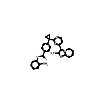 Cc1nc2ccccn2c1-c1ccnc(C2(c3ccc(C(=O)Nc4ccccc4N)cc3)CC2)n1